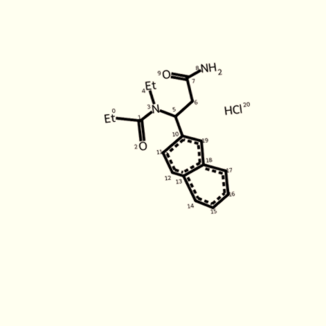 CCC(=O)N(CC)C(CC(N)=O)c1ccc2ccccc2c1.Cl